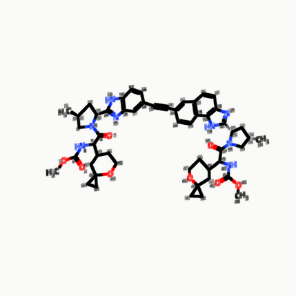 COC(=O)NC(C(=O)N1C[C@@H](C)C[C@H]1c1nc2cc(C#Cc3ccc4c(ccc5nc([C@@H]6C[C@H](C)CN6C(=O)C(NC(=O)OC)C6CCOC7(CC7)C6)[nH]c54)c3)ccc2[nH]1)C1CCOC2(CC2)C1